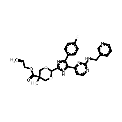 C=CCOC(=O)C1(C)COC(c2nc(-c3ccc(F)cc3)c(-c3ccnc(NCc4cccnc4)n3)[nH]2)OC1